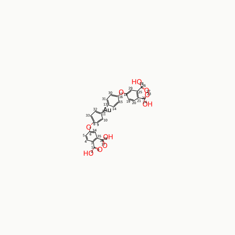 O=C(O)c1ccc(Oc2cc[c]([Au][c]3ccc(Oc4ccc(C(=O)O)c(C(=O)O)c4)cc3)cc2)cc1C(=O)O